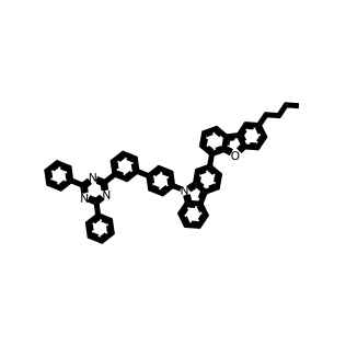 CCCCc1ccc2oc3c(-c4ccc5c6ccccc6n(-c6ccc(-c7cccc(-c8nc(-c9ccccc9)nc(-c9ccccc9)n8)c7)cc6)c5c4)cccc3c2c1